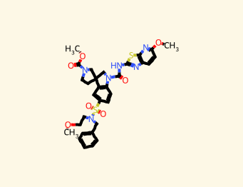 COCCN(Cc1ccccc1)S(=O)(=O)c1ccc2c(c1)C1(CCN(C(=O)OC)C1)CN2C(=O)Nc1nc2ccc(OC)nc2s1